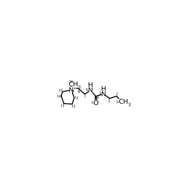 CCCNC(=O)NCC[N+]1(C)CCCCC1